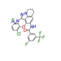 Nc1nn2c3c(cc(NC(=O)c4cc(F)cc(C(F)(F)F)c4)c(Oc4cc(F)ccc4Cl)c13)CCC2